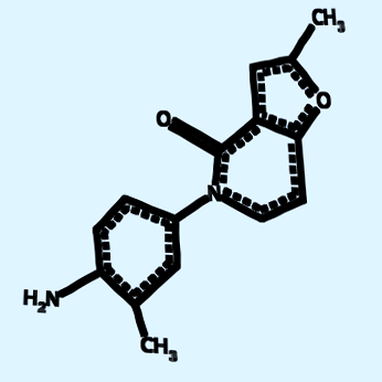 Cc1cc2c(=O)n(-c3ccc(N)c(C)c3)ccc2o1